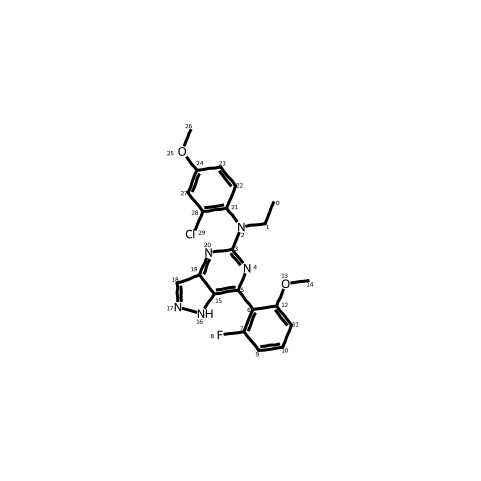 CCN(c1nc(-c2c(F)cccc2OC)c2[nH]ncc2n1)c1ccc(OC)cc1Cl